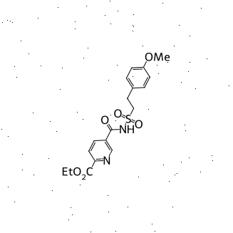 CCOC(=O)c1ccc(C(=O)NS(=O)(=O)CCc2ccc(OC)cc2)cn1